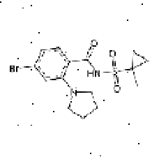 CC1(S(=O)(=O)NC(=O)c2ccc(Br)cc2N2CCCC2)CC1